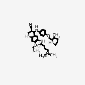 CCOc1cc2c(cc1NC(=O)CCCN(C)C)C(Nc1ccc(OCC3NCCCC3C)cc1)C(C#N)CN2